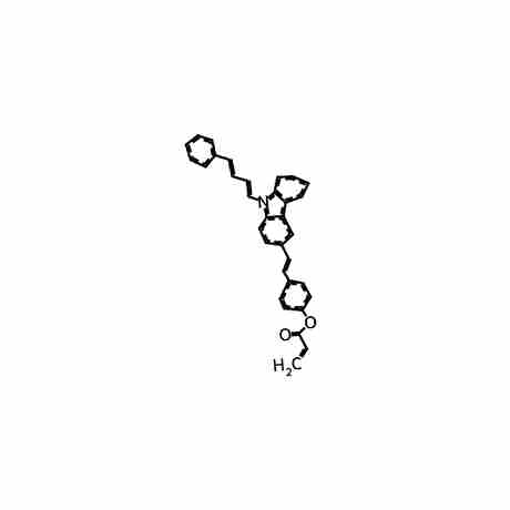 C=CC(=O)Oc1ccc(C=Cc2ccc3c(c2)c2ccccc2n3/C=C/C=C/c2ccccc2)cc1